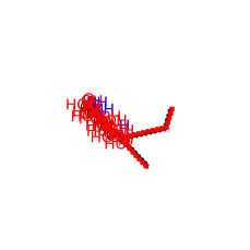 CCCCCCCC/C=C\CCCCCCCCCCCCCCCC(=O)N[C@@H](CO[C@@H]1OC(CO)[C@@H](O[C@@H]2OC(CO)[C@H](O[C@@H]3OC(CO)[C@H](O)[C@H](O[C@@H]4OC(CO)[C@H](O)[C@H](O[C@H]5OC(CO)[C@H](O)[C@H](O)C5NC(C)=O)C4NC(C)=O)C3O)[C@H](O)C2O)[C@H](O)C1O)[C@H](O)/C=C/CCCCCCCCCCCCC